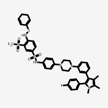 Cc1c(-c2cccc(N3CCN(c4ccc(NS(=O)(=O)c5ccc(NSC6=CCCC=C6)c(S(=O)(=O)C(F)(F)F)c5)cc4)CC3)c2)c(-c2ccc(F)cc2)n(C)c1C